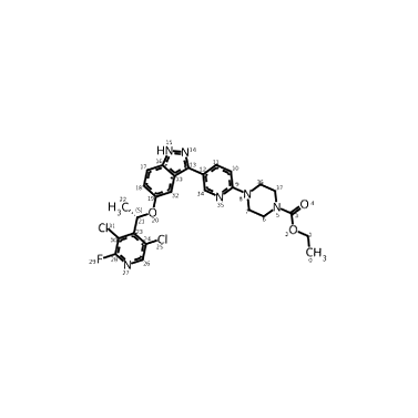 CCOC(=O)N1CCN(c2ccc(-c3n[nH]c4ccc(O[C@@H](C)c5c(Cl)cnc(F)c5Cl)cc34)cn2)CC1